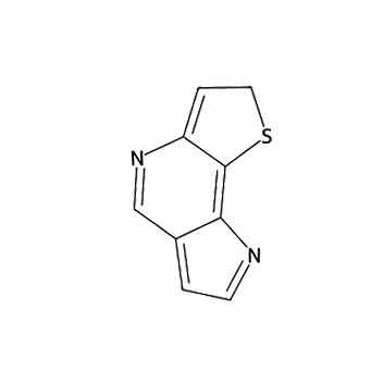 C1=Nc2c3c(ncc2=C1)=CCS3